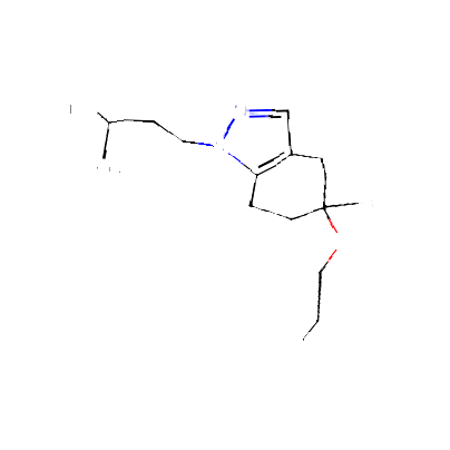 CCCOC1(C)CCc2c(cnn2CCC(C)C)C1